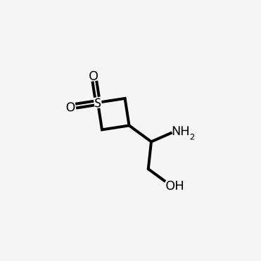 NC(CO)C1CS(=O)(=O)C1